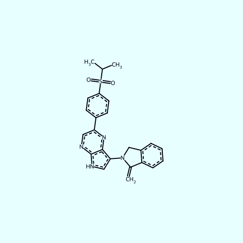 C=C1c2ccccc2CN1c1c[nH]c2ncc(-c3ccc(S(=O)(=O)C(C)C)cc3)nc12